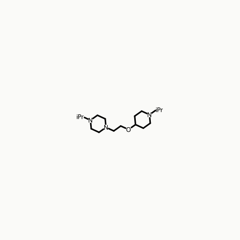 CC(C)N1CCC(OCCN2CCN(C(C)C)CC2)CC1